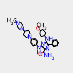 COC1CCC(Nc2nc(Nc3ccc(N4CCC(N5CCN(C)CC5)CC4)cc3)c(C(N)=O)nc2-c2ccccc2)CC1